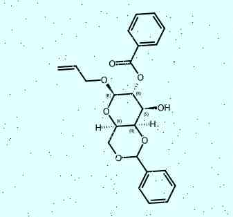 C=CCO[C@@H]1O[C@@H]2COC(c3ccccc3)O[C@@H]2[C@H](O)[C@H]1OC(=O)c1ccccc1